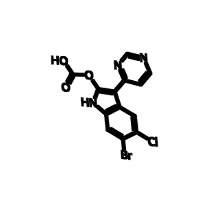 O=C(O)Oc1[nH]c2cc(Br)c(Cl)cc2c1-c1ccncn1